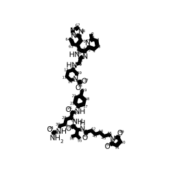 Cc1cccc(-c2nc(CNC3CCCN(C(=O)OCc4ccc(NC(=O)C(CCCNC(N)=O)NC(=O)C(NC(=O)CCCCCN5C(=O)C=CC5=O)C(C)C)cc4)C3)[nH]c2-c2ccn3ncnc3c2)n1